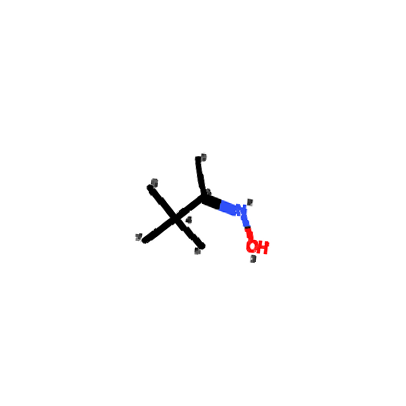 CC(=NO)C(C)(C)C